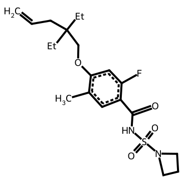 C=CCC(CC)(CC)COc1cc(F)c(C(=O)NS(=O)(=O)N2CCC2)cc1C